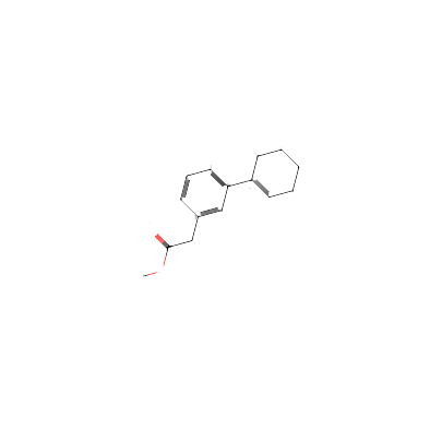 COC(=O)Cc1cccc(C2=CCCCC2)c1